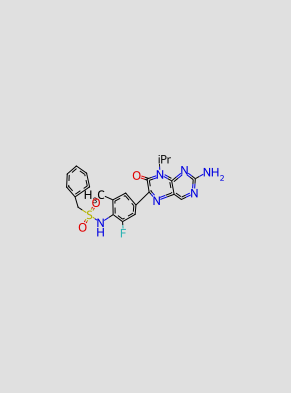 Cc1cc(-c2nc3cnc(N)nc3n(C(C)C)c2=O)cc(F)c1NS(=O)(=O)Cc1ccccc1